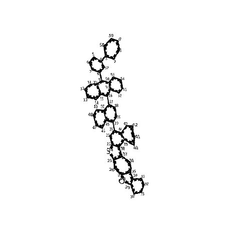 c1ccc(-c2cccc(-c3c4ccccc4c(-c4ccc(-c5cc6sc7cc8oc9ccccc9c8cc7c6c6ccccc56)c5ccccc45)c4ccccc34)c2)cc1